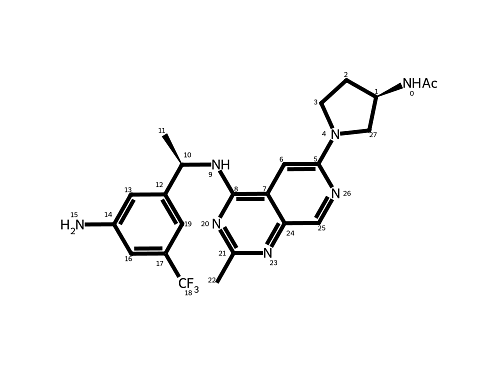 CC(=O)N[C@@H]1CCN(c2cc3c(N[C@H](C)c4cc(N)cc(C(F)(F)F)c4)nc(C)nc3cn2)C1